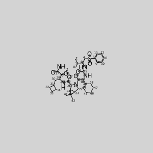 CC(C)[C@@H](CS(=O)(=O)c1ccccc1)NC(=O)N[C@H](C(=O)N1CC2C([C@H]1C(=O)NC(CC1CCC1)C(=O)C(N)=O)C2(C)C)C1CCCCC1